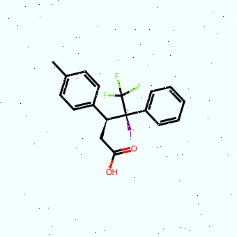 Cc1ccc([C@H](CC(=O)O)[C@@](I)(c2ccccc2)C(F)(F)F)cc1